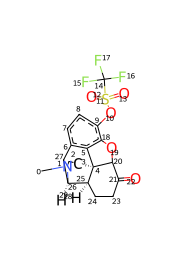 CN1CC[C@]23c4c5ccc(OS(=O)(=O)C(F)(F)F)c4OC2C(=O)CC[C@H]3[C@H]1C5